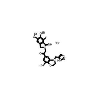 Br.CCOc1cc2c(c(F)c1OCC)C(=N)N(CC(=O)c1cc3c(c(C(C)(C)C)c1)OCCN3Cc1cnn[nH]1)C2